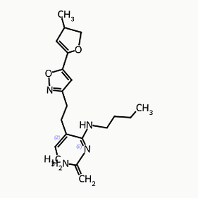 C=C(N)/N=C(NCCCC)\C(=C/C)CCc1cc(C2=CC(C)CO2)on1